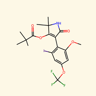 COc1cc(OC(F)(F)F)cc(I)c1C1=C(OC(=O)C(C)(C)C)C(C)(C)NC1=O